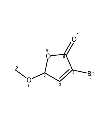 COC1C=C(Br)C(=O)O1